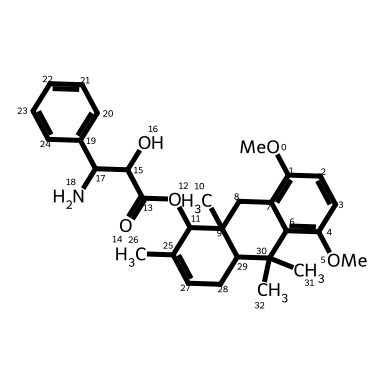 COc1ccc(OC)c2c1CC1(C)C(OC(=O)C(O)C(N)c3ccccc3)C(C)=CCC1C2(C)C